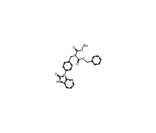 CC(C)(C)OC(=O)[C@H](Cc1ccc(-n2c(=O)[nH]c3cccnc32)cc1)C(=O)OCc1ccccc1